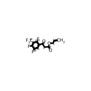 C=CCOC(=O)CC(=O)c1cc(F)c(F)c(C(F)(F)F)c1F